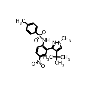 Cc1ccc(S(=O)(=O)Nc2ccc([N+](=O)[O-])cc2-c2nn(C)cc2C(C)(C)C)cc1